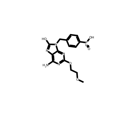 COCCOc1nc(N)c2nc(O)n(Cc3ccc([PH](=O)O)cc3)c2n1